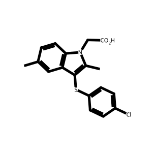 Cc1ccc2c(c1)c(Sc1ccc(Cl)cc1)c(C)n2CC(=O)O